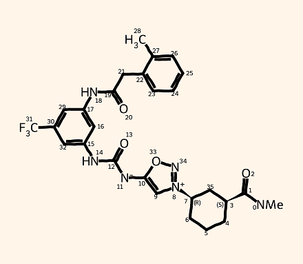 CNC(=O)[C@H]1CCC[C@@H]([n+]2cc([N-]C(=O)Nc3cc(NC(=O)Cc4ccccc4C)cc(C(F)(F)F)c3)on2)C1